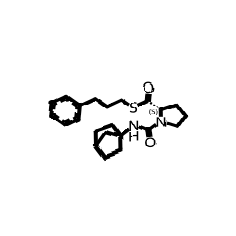 O=C(SCCCc1ccccc1)[C@@H]1CCCN1C(=O)NC12CCC(CC1)C2